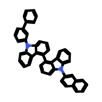 c1ccc(-c2cccc(-n3c4ccccc4c4c(-c5cccc6c5c5ccccc5n6-c5ccc6ccccc6c5)cccc43)c2)cc1